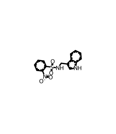 O=[N+]([O-])c1ccccc1S(=O)(=O)NCc1c[nH]c2ccccc12